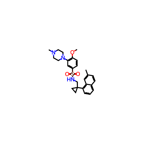 COc1ccc(S(=O)(=O)NCC2(c3cccc4ccc(C)cc34)CC2)cc1N1CCN(C)CC1